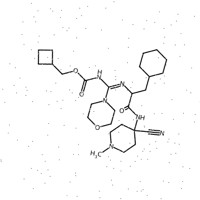 CN1CCC(C#N)(NC(=O)C(CC2CCCCC2)/N=C(/NC(=O)OCC2CCC2)N2CCOCC2)CC1